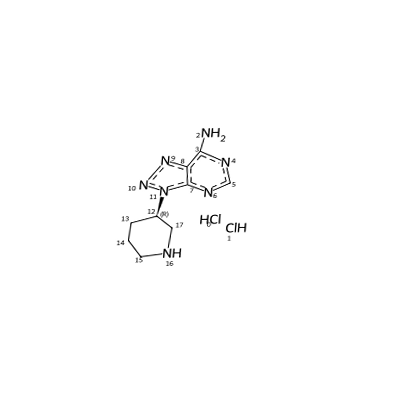 Cl.Cl.Nc1ncnc2c1nnn2[C@@H]1CCCNC1